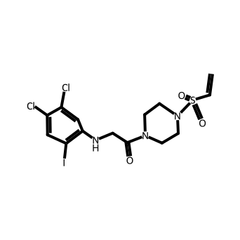 C=CS(=O)(=O)N1CCN(C(=O)CNc2cc(Cl)c(Cl)cc2I)CC1